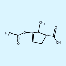 CC(=O)OC1=CCN(C(=O)O)C1C